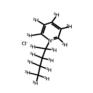 [2H]c1c([2H])c([2H])[n+](C([2H])([2H])C([2H])([2H])C([2H])([2H])C([2H])([2H])[2H])c([2H])c1[2H].[Cl-]